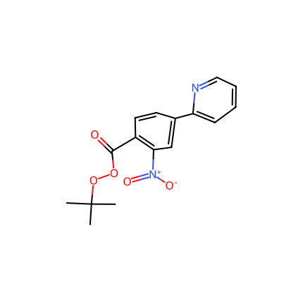 CC(C)(C)OOC(=O)c1ccc(-c2ccccn2)cc1[N+](=O)[O-]